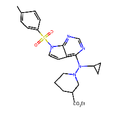 CCOC(=O)C1CCCN(N(c2ncnc3c2ccn3S(=O)(=O)c2ccc(C)cc2)C2CC2)C1